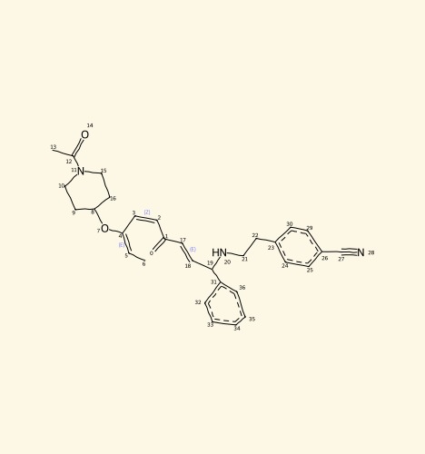 C=C(/C=C\C(=C/C)OC1CCN(C(C)=O)CC1)/C=C/C(NCCc1ccc(C#N)cc1)c1ccccc1